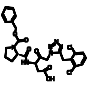 O=C(O)CC(NC(=O)[C@@H]1CCCN1C(=O)OCc1ccccc1)C(=O)Cn1nnnc1Cc1c(Cl)cccc1Cl